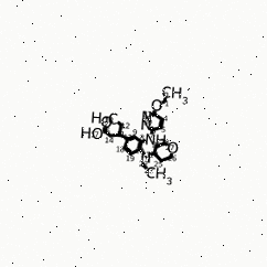 CCOc1ccc(Nc2cc(C(CC)CC(=O)O)ccc2N(CC)C2CCOCC2)nn1